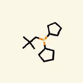 CC(C)(C)CP(C1CCCC1)C1CCCC1